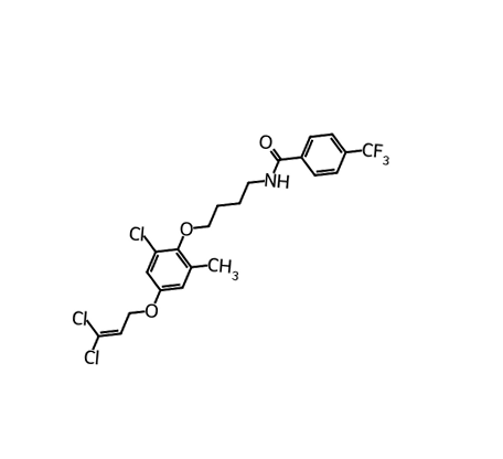 Cc1cc(OCC=C(Cl)Cl)cc(Cl)c1OCCCCNC(=O)c1ccc(C(F)(F)F)cc1